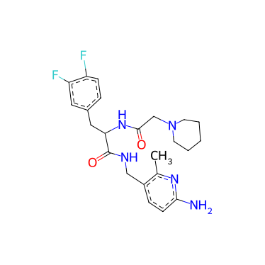 Cc1nc(N)ccc1CNC(=O)C(Cc1ccc(F)c(F)c1)NC(=O)CN1CCCCC1